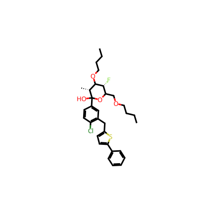 CCCCOCC1OC(O)(c2ccc(Cl)c(Cc3ccc(-c4ccccc4)s3)c2)[C@H](C)C(OCCCC)[C@@H]1F